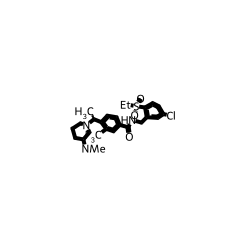 CCS(=O)(=O)c1ccc(Cl)cc1CNC(=O)c1ccc([C@H](C)N2CCCC(NC)C2)c(C(F)(F)F)c1